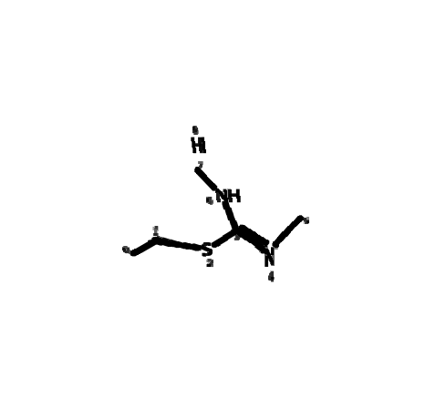 CCS/C(=N/C)NC.I